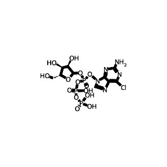 Nc1nc(Cl)c2ncn(OP(=O)(OC3O[C@H](CO)[C@@H](O)[C@H]3O)OP(=O)(O)OP(=O)(O)O)c2n1